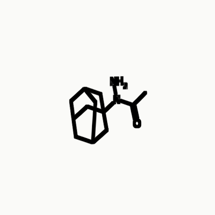 CC(=O)N(N)C12CC3CC(CC(C3)C1)C2